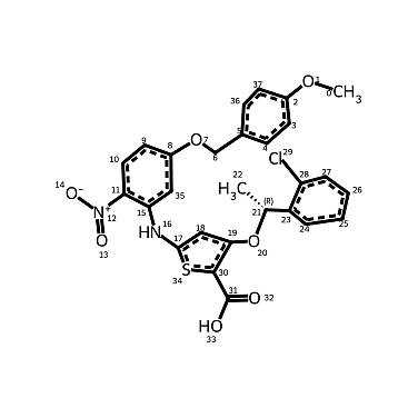 COc1ccc(COc2ccc([N+](=O)[O-])c(Nc3cc(O[C@H](C)c4ccccc4Cl)c(C(=O)O)s3)c2)cc1